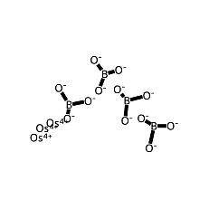 [O-]B([O-])[O-].[O-]B([O-])[O-].[O-]B([O-])[O-].[O-]B([O-])[O-].[Os+4].[Os+4].[Os+4]